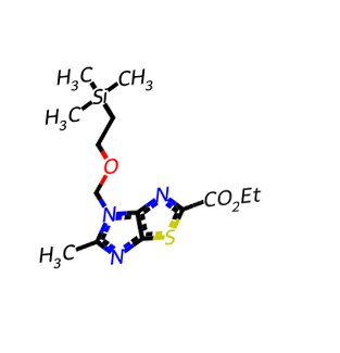 CCOC(=O)c1nc2c(nc(C)n2COCC[Si](C)(C)C)s1